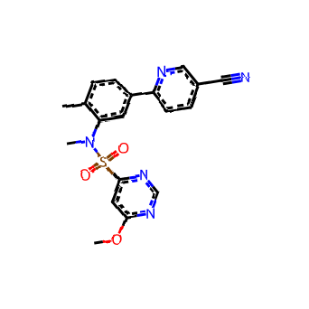 COc1cc(S(=O)(=O)N(C)c2cc(-c3ccc(C#N)cn3)ccc2C)ncn1